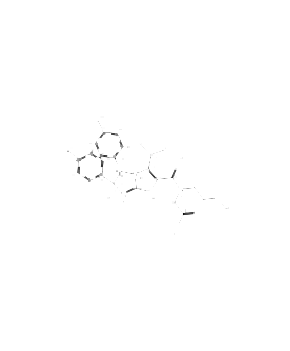 COCCN(CC(=O)O)C(=O)C1=C(C(C)C)N2C(=N[C@@](C)(c3ccc(Cl)cc3)[C@H]2c2ccc(Cl)cc2)S1